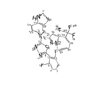 Fc1cccc(F)c1-c1nnc(N2CCc3[nH]cnc3[C@@H]2c2cc3c(C(F)(F)F)cccn3n2)o1